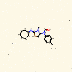 Cc1ccc(N(C=O)C2CSC(=NC3CCCCCC3)N2C)cc1